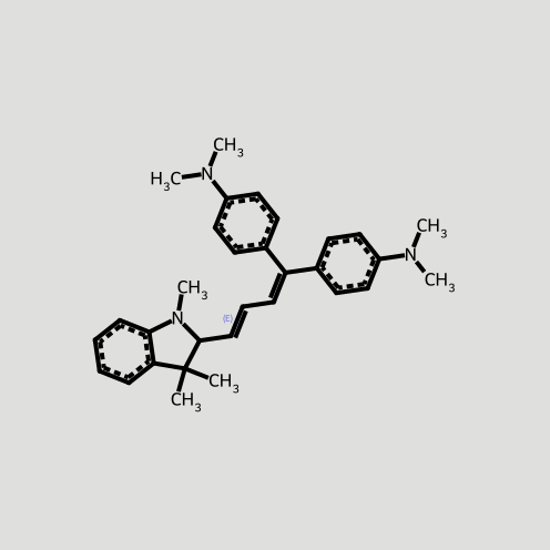 CN(C)c1ccc(C(=C/C=C/C2N(C)c3ccccc3C2(C)C)c2ccc(N(C)C)cc2)cc1